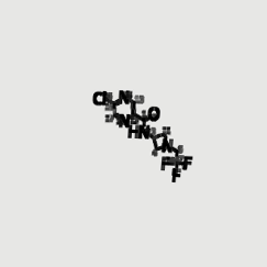 O=C(NC1CN(CC(F)(F)F)C1)c1cnc(Cl)cn1